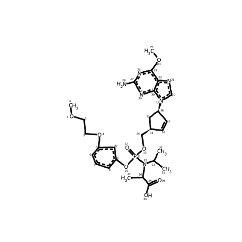 COCCOc1cccc(OP(=O)(OC[C@@H]2C=C[C@H](n3cnc4c(OC)nc(N)nc43)C2)N(C(C)C)C(C)C(=O)O)c1